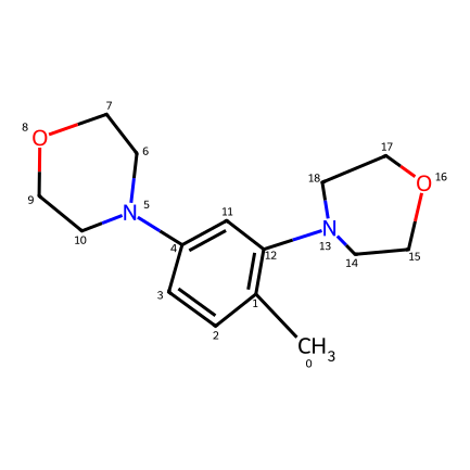 Cc1ccc(N2CCOCC2)cc1N1CCOCC1